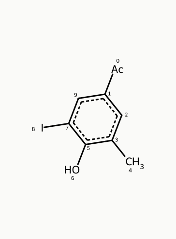 CC(=O)c1cc(C)c(O)c(I)c1